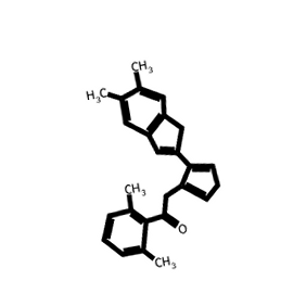 Cc1cc2c(cc1C)CC(C1=CCC=C1CC(=O)c1c(C)cccc1C)=C2